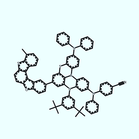 Cc1cccc2c1sc1ccc3oc4ccc(-c5cc6c7c(c5)N(c5cc(C(C)(C)C)cc(C(C)(C)C)c5)c5cc(N(c8ccccc8)c8ccc(C#N)cc8)ccc5B7c5ccc(N(c7ccccc7)c7ccccc7)cc5S6)cc4c3c12